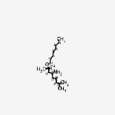 CCCCCCCCOC(C)(C)CC(N)CCCC(C)C